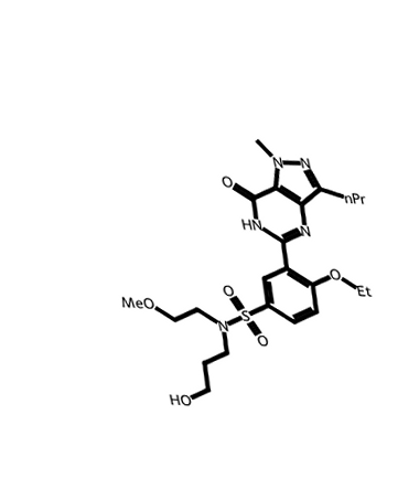 CCCc1nn(C)c2c(=O)[nH]c(-c3cc(S(=O)(=O)N(CCCO)CCOC)ccc3OCC)nc12